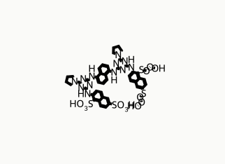 O=S(=O)(O)c1ccc2c(S(=O)(=O)O)c(Nc3nc(Nc4cccc5c(Nc6nc(Nc7ccc8cc(SOOO)ccc8c7SOOO)nc(N7CCCC7)n6)cccc45)nc(N4CCCC4)n3)ccc2c1